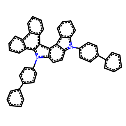 c1ccc(-c2ccc(-n3c4ccccc4c4c5c6c7ccccc7c7ccccc7c6n(-c6ccc(-c7ccccc7)cc6)c5ccc43)cc2)cc1